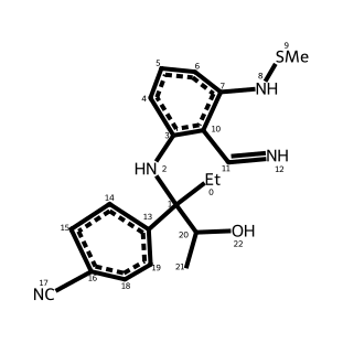 CCC(Nc1cccc(NSC)c1C=N)(c1ccc(C#N)cc1)C(C)O